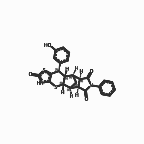 O=C1[C@@H]2[C@H]3C[C@H]([C@@H]4Sc5[nH]c(=O)sc5[C@@H](c5cccc(O)c5)[C@H]34)[C@@H]2C(=O)N1c1ccccc1